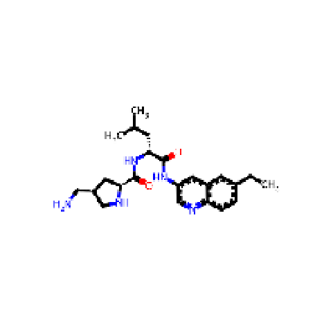 CCc1ccc2ncc(NC(=O)[C@@H](CC(C)C)NC(=O)[C@@H]3C[C@H](CN)CN3)cc2c1